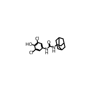 O=C(Nc1cc(Cl)c(O)c(Cl)c1)NC12CC3CC(CC(C3)C1)C2